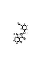 N#Cc1cccc(NNC(=O)c2c(N)cccc2F)c1